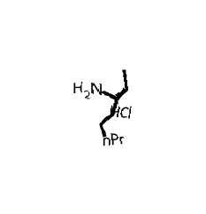 CC=C(N)CCCCC.Cl